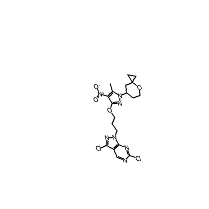 Cc1c([N+](=O)[O-])c(OCCCn2nc(Cl)c3cnc(Cl)nc32)nn1C1CCOC2(CC2)C1